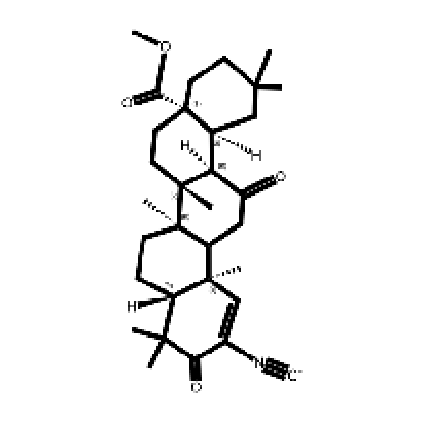 [C-]#[N+]C1=C[C@]2(C)C3CC(=O)[C@@H]4[C@@H]5CC(C)(C)CC[C@]5(C(=O)OC)CC[C@@]4(C)[C@]3(C)CC[C@H]2C(C)(C)C1=O